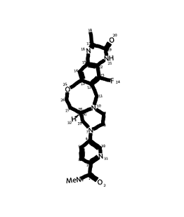 CNC(=O)c1ccc(N2CCN3Cc4c(cc5nc(C)c(=O)[nH]c5c4F)OCC[C@@H]3C2)cn1